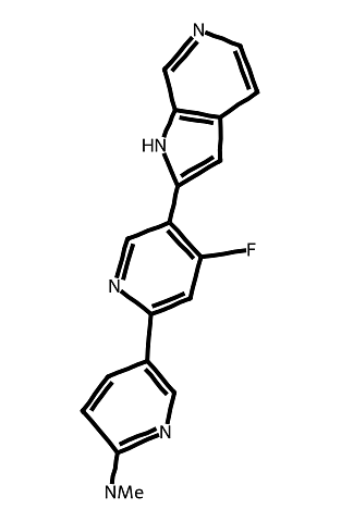 CNc1ccc(-c2cc(F)c(-c3cc4ccncc4[nH]3)cn2)cn1